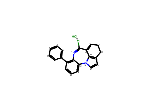 Cl.ClC1=Nc2c(-c3ccccc3)cccc2-n2ccc3c2C1=CCC3